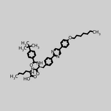 CCCCCCCOc1ccc(-c2cnc(-c3ccc(C[C@H](NC(=O)c4ccc(C(C)(C)C)cc4)C(=O)NC(CCCC)C(=O)O)cc3)nc2)cc1